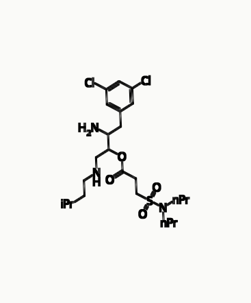 CCCN(CCC)S(=O)(=O)CCC(=O)OC(CNCCC(C)C)C(N)Cc1cc(Cl)cc(Cl)c1